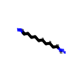 N=CCCCCCCCCCN